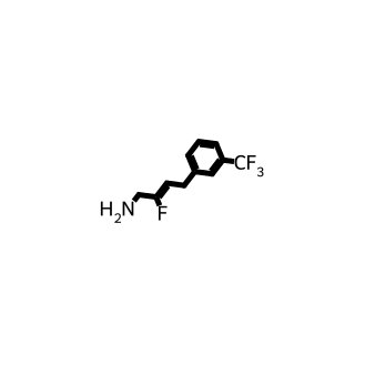 NC/C(F)=C/Cc1cccc(C(F)(F)F)c1